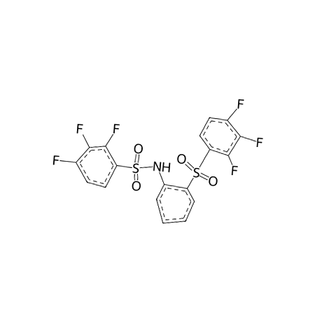 O=S(=O)(Nc1ccccc1S(=O)(=O)c1ccc(F)c(F)c1F)c1ccc(F)c(F)c1F